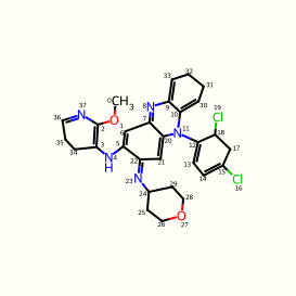 COC1=C(Nc2cc3nc4c(n(C5=CC=C(Cl)CC5Cl)c-3c/c2=N\C2CCOCC2)=CCCC=4)CCC=N1